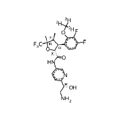 [2H]C([2H])([2H])Oc1c([C@H]2[C@H](C(=O)Nc3ccc([C@H](O)CN)nc3)O[C@@](C)(C(F)(F)F)[C@H]2C)ccc(F)c1F